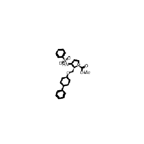 COC(=O)N1CCC(NS(=O)(=O)c2ccccc2)[C@@H]1COC1CCC(c2ccccc2)CC1